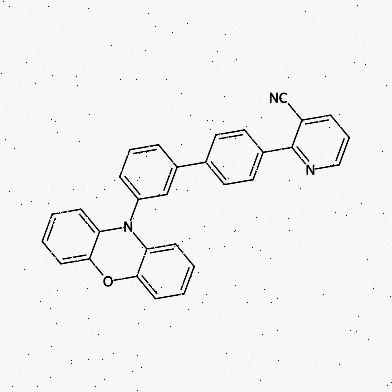 N#Cc1cccnc1-c1ccc(-c2cccc(N3c4ccccc4Oc4ccccc43)c2)cc1